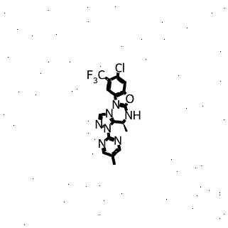 Cc1cnc(-n2ncnc2[C@H](C)Nc2nc3cc(C(F)(F)F)c(Cl)cc3o2)nc1